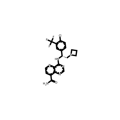 NC(=O)c1ccnc2c(N[C@@H](CN3CCC3)c3ccc(Cl)c(C(F)(F)F)c3)ncnc12